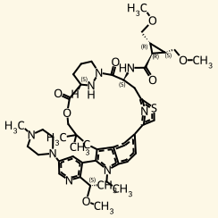 CCn1c(-c2cc(N3CCN(C)CC3)cnc2[C@H](C)OC)c2c3cc(ccc31)-c1csc(n1)C[C@H](NC(=O)[C@H]1[C@H](COC)[C@@H]1COC)C(=O)N1CCC[C@H](N1)C(=O)OCC(C)(C)C2